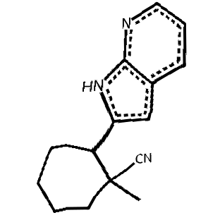 CC1(C#N)CCCCC1c1cc2cccnc2[nH]1